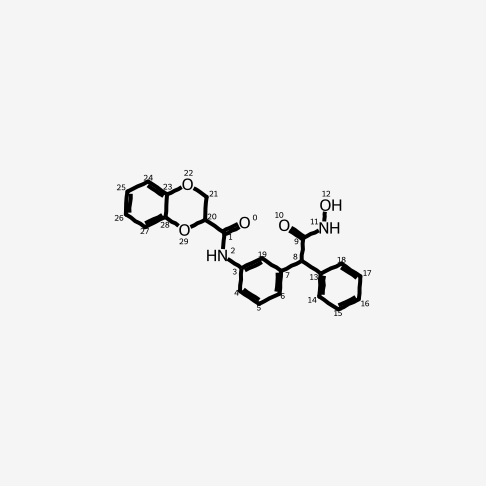 O=C(Nc1cccc(C(C(=O)NO)c2ccccc2)c1)C1COc2ccccc2O1